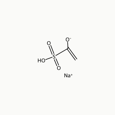 C=C([O-])S(=O)(=O)O.[Na+]